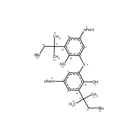 CCCCCc1cc(Sc2cc(CCCCC)cc(C(C)(C)CC(C)(C)C)c2O)c(O)c(C(C)(C)CC(C)(C)C)c1